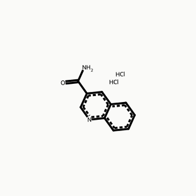 Cl.Cl.NC(=O)c1cnc2ccccc2c1